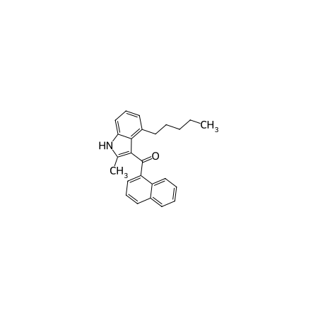 CCCCCc1cccc2[nH]c(C)c(C(=O)c3cccc4ccccc34)c12